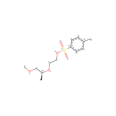 COC[C@H](C)OCCOS(=O)(=O)c1ccc(C)cc1